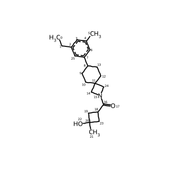 CCc1cc(C)cc(C2CCC3(CC2)CN(C(=O)C2CC(C)(O)C2)C3)c1